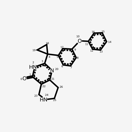 O=c1[nH]c(C2(c3cccc(Oc4ccccc4)c3)CC2)nc2c1CNCC2